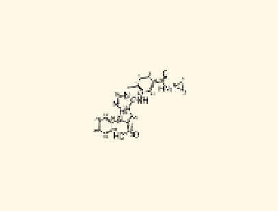 Cc1ccc(C(=O)NC2CC2)cc1Nc1ncnc2c1cc(C(=O)O)n2-c1ccccc1